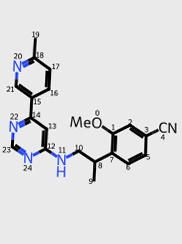 COc1cc(C#N)ccc1C(C)CNc1cc(-c2ccc(C)nc2)ncn1